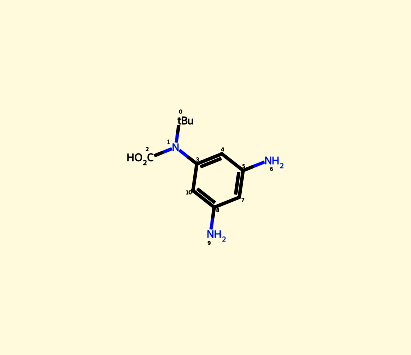 CC(C)(C)N(C(=O)O)c1cc(N)cc(N)c1